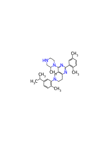 Cc1ccc(C)c(-c2nc3c(c(N4CCNCC4C)n2)CN(c2cc(C(C)C)ccc2C)CC3)c1